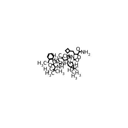 C[C@@H](OC(=O)[C@@H](NC(=O)N[C@H](C(=O)N1C[C@H]2[C@@H]([C@H]1C(=O)NC(CC1CCC1)C(=O)C(N)=O)C2(C)C)C(C)(C)C)C(C)(C)C)c1ccccc1